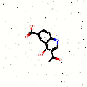 CC(=O)c1cnc2ccc(C(=O)O)cc2c1O